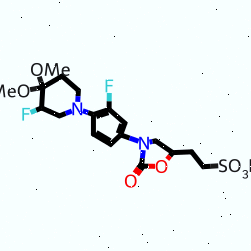 COC1(OC)CCN(c2ccc(N3CC(CCS(=O)(=O)O)OC3=O)cc2F)CC1F